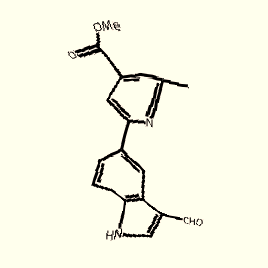 COC(=O)c1cc(C)nc(-c2ccc3[nH]cc(C=O)c3c2)c1